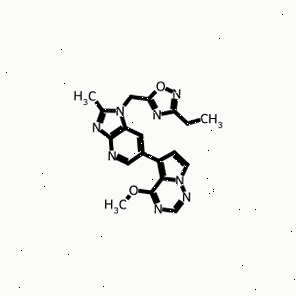 CCc1noc(Cn2c(C)nc3ncc(-c4ccn5ncnc(OC)c45)cc32)n1